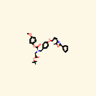 COc1ccc(OC(=O)N(CC(=O)OC(C)(C)C)Cc2ccc(OC/C=C\c3nc(-c4ccccc4)oc3C)cc2)cc1